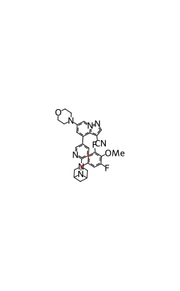 COc1c(F)cc(CN2C3CC2CN(c2ccc(-c4cc(N5CCOCC5)cn5ncc(C#N)c45)cn2)C3)cc1F